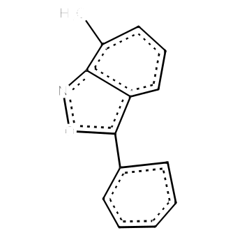 Cc1cccc2c(-c3ccccc3)onc12